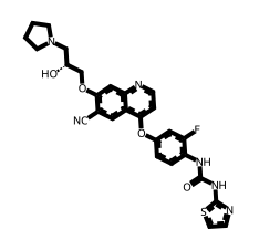 N#Cc1cc2c(Oc3ccc(NC(=O)Nc4nccs4)c(F)c3)ccnc2cc1OC[C@H](O)CN1CCCC1